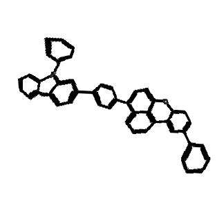 c1ccc(-c2ccc3c(c2)-c2cccc4c(-c5ccc(-c6ccc7c8ccccc8n(-c8ccccc8)c7c6)cc5)ccc(c24)O3)cc1